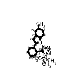 Cc1ccc2oc(-c3ccccc3-c3nnn[n]3[Sn]([CH3])([CH3])[CH3])cc2c1